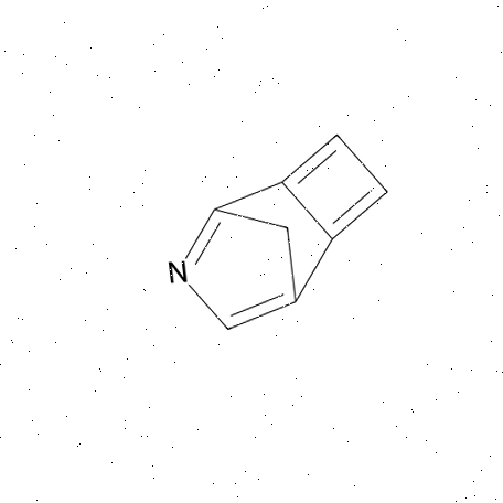 C1=C2CC(=N1)C1=CC=C21